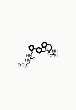 CCOC(=O)CNC(=O)NCc1ccccc1-c1ccc(CN2C(=O)[C@H](NC(=O)CC)CCc3ccccc32)cc1